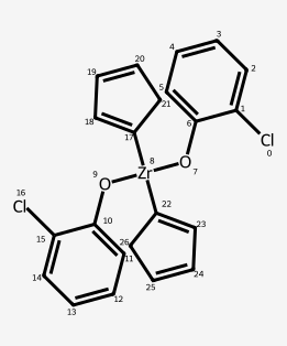 Clc1ccccc1[O][Zr]([O]c1ccccc1Cl)([C]1=CC=CC1)[C]1=CC=CC1